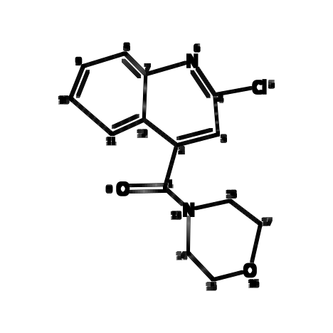 O=C(c1cc(Cl)nc2ccccc12)N1CCOCC1